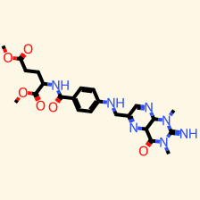 COC(=O)CCC(NC(=O)c1ccc(NCC2=NC3C(=O)N(C)C(=N)N(C)C3N=C2)cc1)C(=O)OC